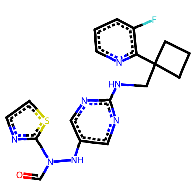 O=CN(Nc1cnc(NCC2(c3ncccc3F)CCC2)nc1)c1nccs1